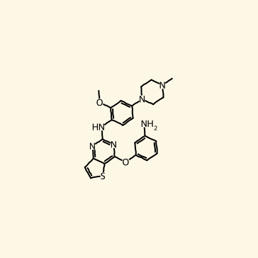 COc1cc(N2CCN(C)CC2)ccc1Nc1nc(Oc2cccc(N)c2)c2sccc2n1